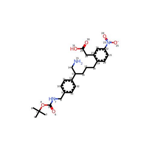 CC(C)(C)OC(=O)NCc1ccc(C(CN)CCCc2ccc([N+](=O)[O-])cc2CC(=O)O)cc1